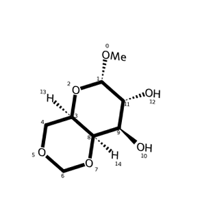 CO[C@H]1O[C@@H]2COCO[C@@H]2[C@H](O)[C@H]1O